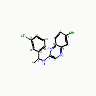 CC(Nc1cnc2cc(Br)ccc2n1)c1cccc(F)c1